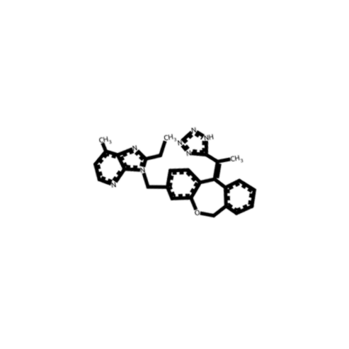 CCc1nc2c(C)ccnc2n1Cc1ccc2c(c1)OCc1ccccc1/C2=C(\C)c1nnn[nH]1